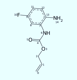 C=CCOC(=O)Nc1cc(F)ccc1N